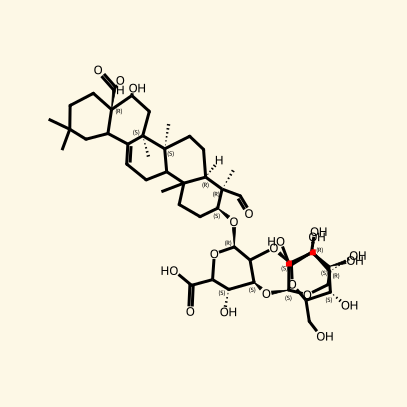 CC1(C)CC[C@]2(C(=O)O)C(O)C[C@]3(C)C(=CCC4C5(C)CC[C@H](O[C@@H]6OC(C(=O)O)[C@@H](O)[C@H](O[C@@H]7OC[C@@H](O)[C@@H](O)C7O)C6O[C@@H]6OC(CO)[C@@H](O)[C@H](O)C6O)[C@](C)(C=O)[C@@H]5CC[C@@]43C)C2C1